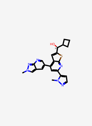 Cn1cc2cc(-c3cc(-c4ccnn4C)nc4sc([C@@H](O)C5CCC5)cc34)cnc2n1